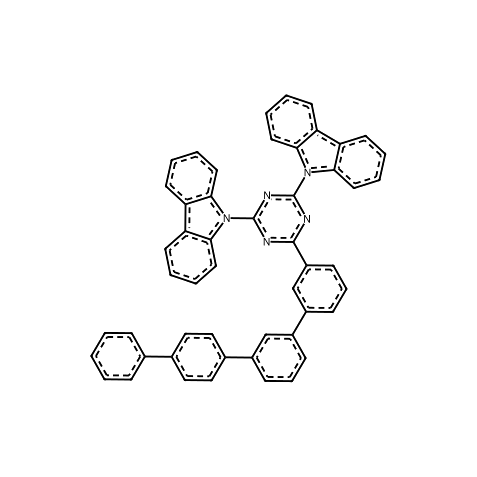 c1ccc(-c2ccc(-c3cccc(-c4cccc(-c5nc(-n6c7ccccc7c7ccccc76)nc(-n6c7ccccc7c7ccccc76)n5)c4)c3)cc2)cc1